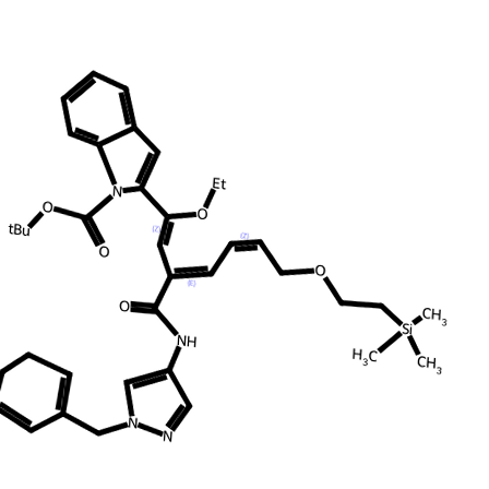 CCO\C(=C/C(=C\C=C/COCC[Si](C)(C)C)C(=O)Nc1cnn(CC2=CCCC=C2)c1)c1cc2ccccc2n1C(=O)OC(C)(C)C